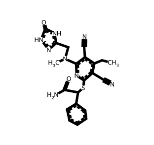 CCc1c(C#N)c(SC(C(N)=O)c2ccccc2)nc(N(C)Cc2n[nH]c(=O)[nH]2)c1C#N